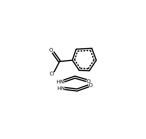 N=C=O.N=C=O.O=C(Cl)c1ccccc1